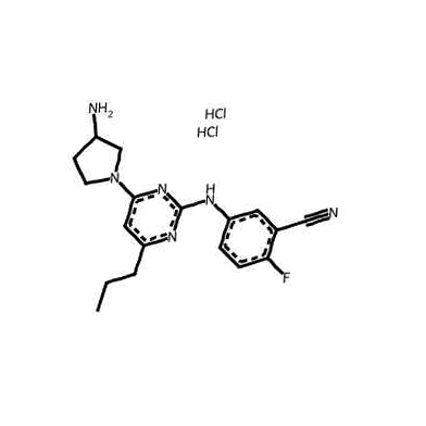 CCCc1cc(N2CCC(N)C2)nc(Nc2ccc(F)c(C#N)c2)n1.Cl.Cl